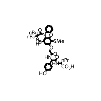 CCCCC1(CCCC)NSC2=C(C(=O)C(SC)C(OCC(=O)N[C@@H](C(=O)N[C@@H](CCC)C(=O)O)c3ccc(O)cc3)=C2)N(c2ccccc2)C1=O